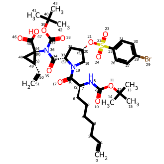 C=CCCCCC[C@H](NC(=O)OC(C)(C)C)C(=O)N1C[C@@H](OS(=O)(=O)c2ccc(Br)cc2)C[C@H]1C(=O)N(C(=O)OC(C)(C)C)[C@]1(C(=O)O)C[C@H]1C=C